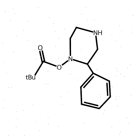 CC(C)(C)C(=O)ON1CCNCC1c1ccccc1